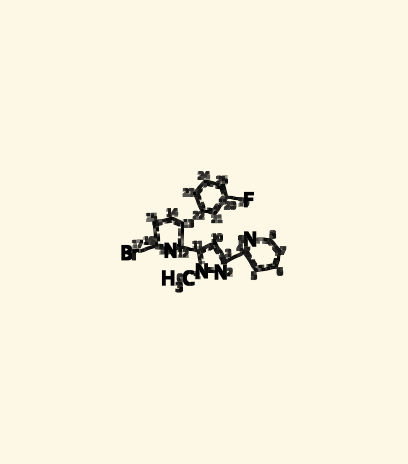 Cn1nc(-c2ccccn2)cc1-c1cccc(Br)n1.Fc1ccccc1